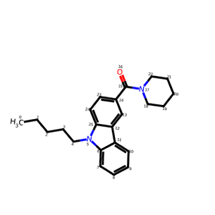 CCCCCn1c2ccccc2c2cc(C(=O)N3CCCCC3)ccc21